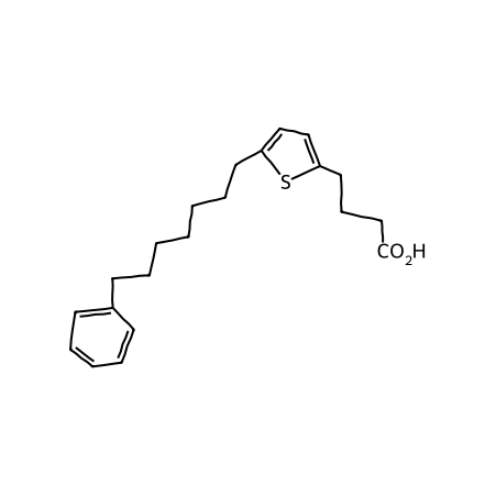 O=C(O)CCCc1ccc(CCCCCCCc2ccccc2)s1